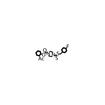 CC(=O)c1ccccc1OC(=O)N1CCN(C(=S)SCc2ccc(F)cc2)CC1